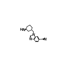 N#Cc1ccc2ncn(CC3CCCC(=N)C3)c2c1